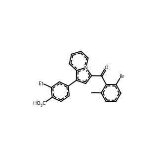 CCc1cc(-c2cc(C(=O)c3c(C)cccc3Br)n3ccccc23)ccc1C(=O)O